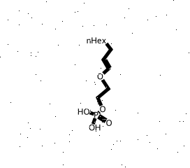 CCCCCCCC=COCCOP(=O)(O)O